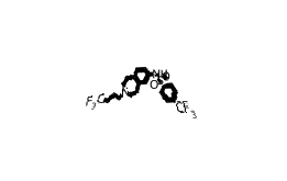 O=S(=O)(Nc1ccc2c(c1)CCN(CCCC(F)(F)F)CC2)c1ccc(C(F)(F)F)cc1